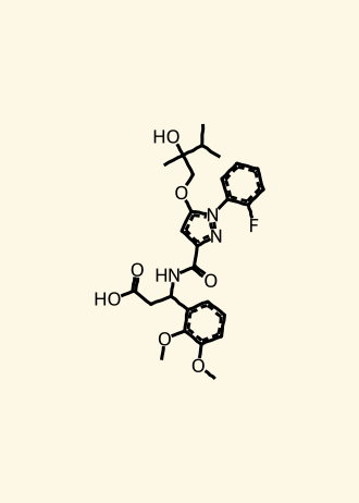 COc1cccc(C(CC(=O)O)NC(=O)c2cc(OCC(C)(O)C(C)C)n(-c3ccccc3F)n2)c1OC